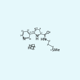 CSCCCNC(=O)C1CSC(c2cccnc2)N1.Cl.Cl